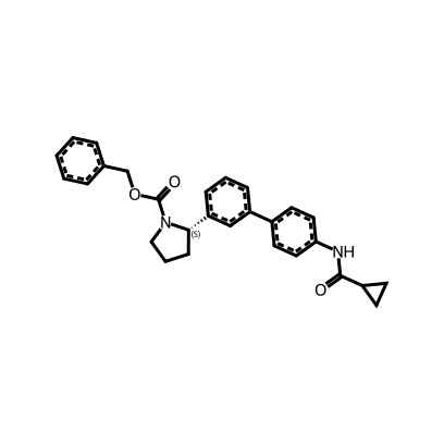 O=C(Nc1ccc(-c2cccc([C@@H]3CCCN3C(=O)OCc3ccccc3)c2)cc1)C1CC1